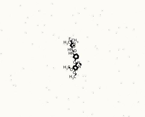 CCOc1cc2ncnc(Oc3cccc(NC(=O)Nc4cc(C(C)(C)F)no4)c3)c2cc1OC